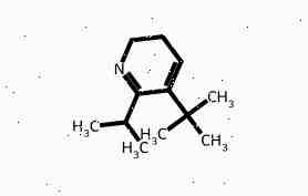 CC(C)C1=NCCC=C1C(C)(C)C